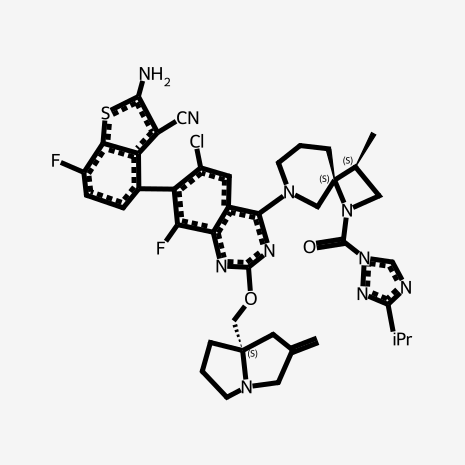 C=C1CN2CCC[C@@]2(COc2nc(N3CCC[C@@]4(C3)[C@@H](C)CN4C(=O)n3cnc(C(C)C)n3)c3cc(Cl)c(-c4ccc(F)c5sc(N)c(C#N)c45)c(F)c3n2)C1